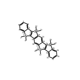 C[Si]1(C)C2=C(c3ccccc31)[Si](C)(C)c1cc3c(cc12)[Si](C)(C)C1=C3[Si](C)(C)c2ccccc21